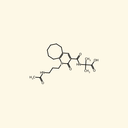 CC(=O)NCCCn1c2c(cc(C(=O)NC(C)(C)C(=O)O)c1=O)CCCCCC2